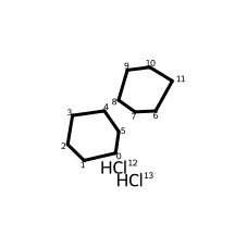 C1CCCCC1.C1CCCCC1.Cl.Cl